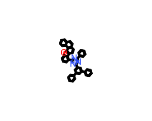 c1ccc(-c2cc(-c3ccccc3)cc(-c3nc(-c4ccccc4)nc(-c4cccc5oc6c(ccc7ccc8ccccc8c76)c45)n3)c2)cc1